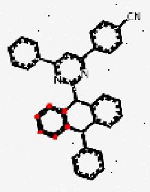 N#Cc1ccc(-c2cc(-c3ccccc3)nc(C34c5ccccc5C(c5ccccc5)(c5ccccc53)c3ccccc34)n2)cc1